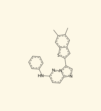 Cc1cc2cc(-c3cnc4ccc(Nc5ccccc5)nn34)sc2cc1C